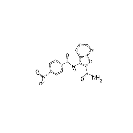 NC(=O)c1oc2ncccc2c1NC(=O)c1ccc([N+](=O)[O-])cc1